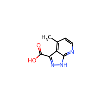 Cc1ccnc2[nH]nc(C(=O)O)c12